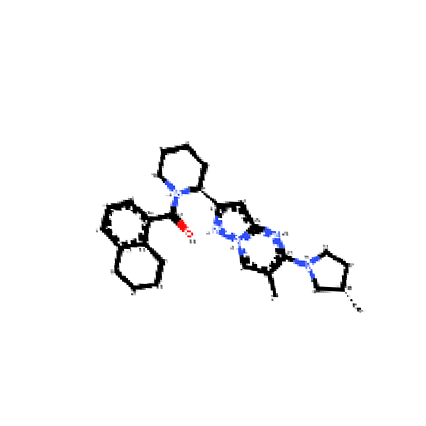 Cc1cn2nc([C@@H]3CCCCN3C(=O)c3cccc4c3CCCC4)cc2nc1N1CC[C@H](C)C1